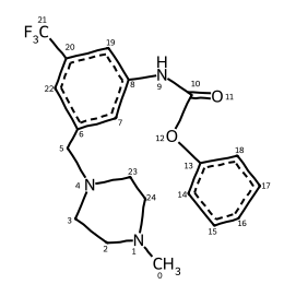 CN1CCN(Cc2cc(NC(=O)Oc3ccccc3)cc(C(F)(F)F)c2)CC1